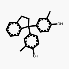 Cc1cc(C2(c3ccc(O)c(C)c3)CCc3ccccc32)ccc1O